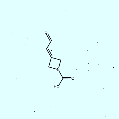 O=CC=C1CN(C(=O)O)C1